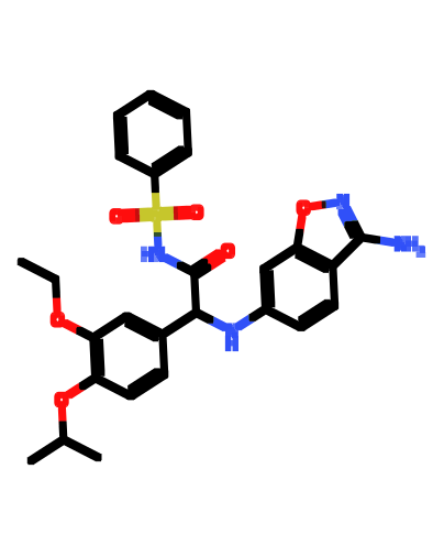 CCOc1cc(C(Nc2ccc3c(N)noc3c2)C(=O)NS(=O)(=O)c2ccccc2)ccc1OC(C)C